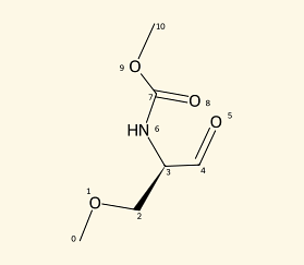 COC[C@H](C=O)NC(=O)OC